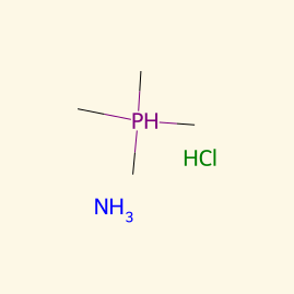 C[PH](C)(C)C.Cl.N